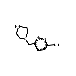 Nc1ccc(CN2CCNCC2)nn1